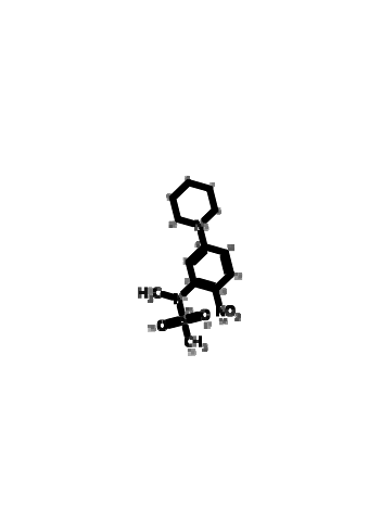 CN(c1cc(N2CCCCC2)ccc1[N+](=O)[O-])S(C)(=O)=O